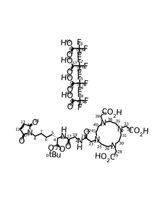 CC(C)(C)OC(=O)[C@H](CCCCN1C(=O)C=CC1=O)NC(=O)CNC(=O)CN1CCN(CC(=O)O)CCN(CC(=O)O)CCN(CC(=O)O)CC1.O=C(O)C(F)(F)F.O=C(O)C(F)(F)F.O=C(O)C(F)(F)F.O=C(O)C(F)(F)F